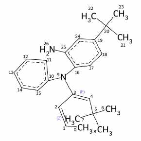 C/C=C\C(=C/C(C)(C)C)N(c1ccccc1)c1ccc(C(C)(C)C)cc1N